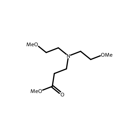 COCCN(CCOC)CCC(=O)OC